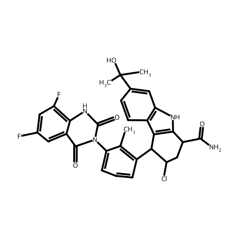 Cc1c(C2c3c([nH]c4cc(C(C)(C)O)ccc34)C(C(N)=O)CC2Cl)cccc1-n1c(=O)[nH]c2c(F)cc(F)cc2c1=O